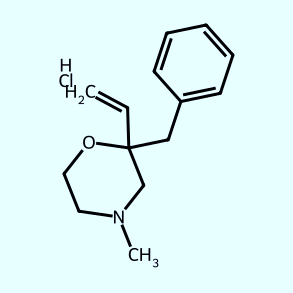 C=CC1(Cc2ccccc2)CN(C)CCO1.Cl